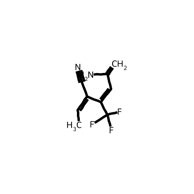 C=C(N)/C=C(\C(C#N)=C/C)C(F)(F)F